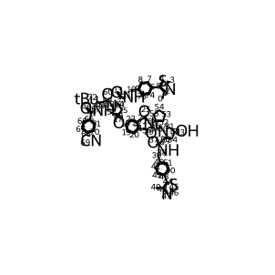 Cc1ncsc1-c1ccc(CNC(=O)[C@@H]2C[C@@H](Oc3ccc4c(c3)C(=O)N(C3(C(=O)N5C[C@H](O)C[C@H]5C(=O)NCc5ccc(-c6scnc6C)cc5)CCCC3)C4)CN2C(=O)[C@@H](NC(=O)c2ccc(C#N)cc2)C(C)(C)C)cc1